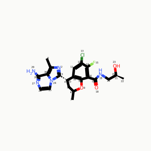 Cc1nc([C@H]2CC(C)Oc3c2cc(Cl)c(F)c3C(=O)NC[C@H](C)O)n2ccnc(N)c12